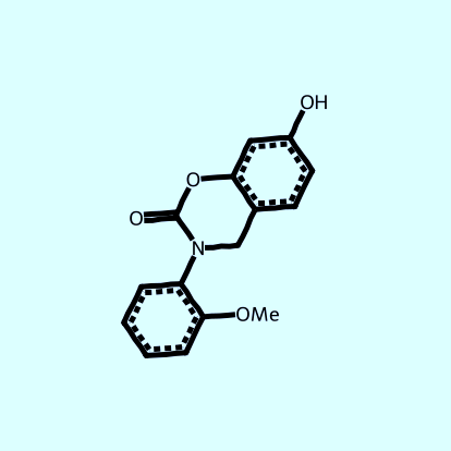 COc1ccccc1N1Cc2ccc(O)cc2OC1=O